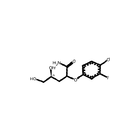 NC(=O)C(C[C@H](O)CO)Oc1ccc(Cl)c(F)c1